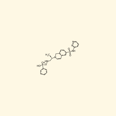 C[C@H](CNC[C@@](C)(O)c1ccccc1)N1C=Cc2cc(S(=O)(=O)Nc3cccnn3)ccc2C1